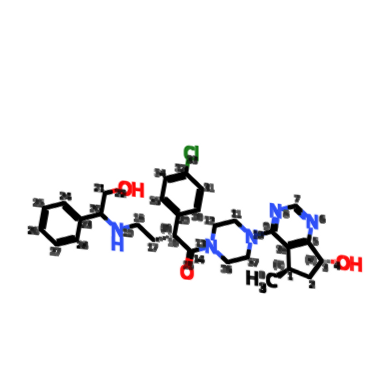 C[C@@H]1C[C@@H](O)c2ncnc(N3CCN(C(=O)[C@H](CCNC(CO)c4ccccc4)c4ccc(Cl)cc4)CC3)c21